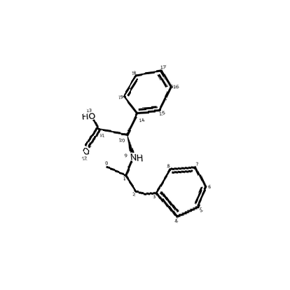 CC(Cc1ccccc1)N[C@@H](C(=O)O)c1ccccc1